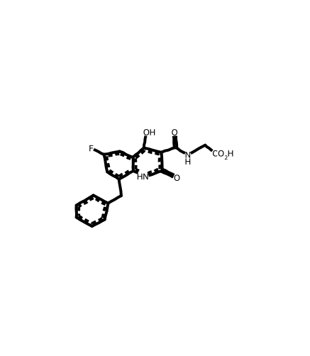 O=C(O)CNC(=O)c1c(O)c2cc(F)cc(Cc3ccccc3)c2[nH]c1=O